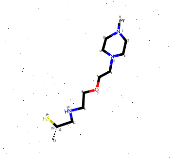 CC(C)N1CCN(CCOCCNC[C@H](C)S)CC1